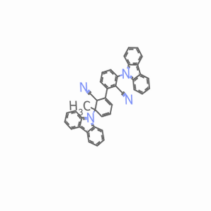 CC1(n2c3ccccc3c3ccccc32)C=CC=C(c2cccc(-n3c4ccccc4c4ccccc43)c2C#N)C1C#N